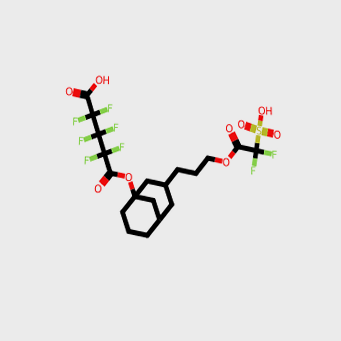 O=C(O)C(F)(F)C(F)(F)C(F)(F)C(=O)OC12CCCC(CC(CCCOC(=O)C(F)(F)S(=O)(=O)O)C1)C2